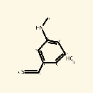 CNc1cccc(C=S)c1.Cl